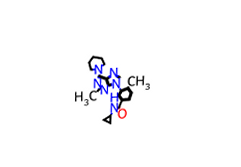 Cc1nc(N2CCCCC2)c2ncn(-c3cc(C(=O)NC4CC4)ccc3C)c2n1